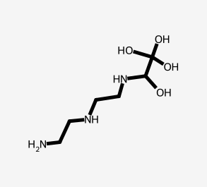 NCCNCCNC(O)C(O)(O)O